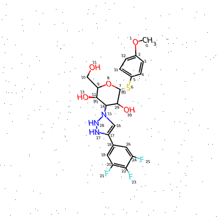 COc1ccc(S[C@H]2OC(CO)[C@H](O)C(N3C=C(c4cc(F)c(F)c(F)c4)NN3)C2O)cc1